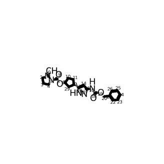 CN1CCCN1C(=O)O[C@@H]1CC[C@H](c2cc(NC(=O)OCc3ccccc3)n[nH]2)C1